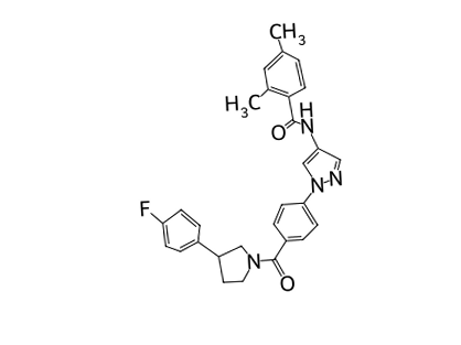 Cc1ccc(C(=O)Nc2cnn(-c3ccc(C(=O)N4CCC(c5ccc(F)cc5)C4)cc3)c2)c(C)c1